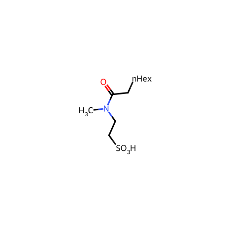 CCCCCCCC(=O)N(C)CCS(=O)(=O)O